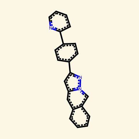 c1ccc(-c2ccc(-c3cc4cc5ccccc5cn4n3)cc2)nc1